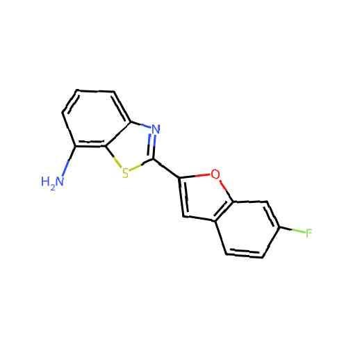 Nc1cccc2nc(-c3cc4ccc(F)cc4o3)sc12